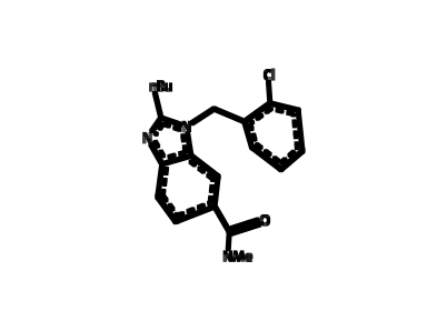 CCCCc1nc2ccc(C(=O)NC)cc2n1Cc1ccccc1Cl